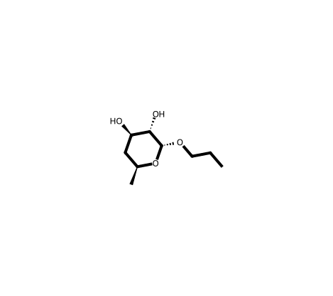 CCCO[C@@H]1O[C@@H](C)C[C@@H](O)[C@@H]1O